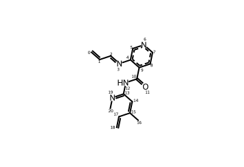 C=C/C=N/c1cnccc1C(=O)NC(/C=C(/C)C=C)=N/C